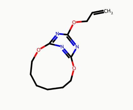 C=CCOc1nc2nc(n1)OCCCCCCO2